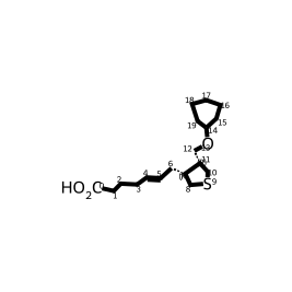 O=C(O)CCCC=CC[C@H]1CSC[C@H]1COC1CCCCC1